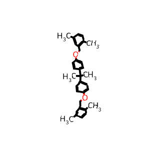 Cc1ccc(C)c(COc2ccc(C(C)(C)c3ccc(OCc4cc(C)ccc4C)cc3)cc2)c1